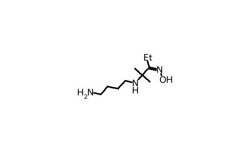 CCC(=NO)C(C)(C)NCCCCN